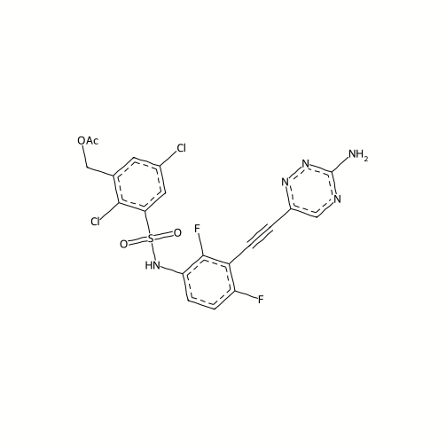 CC(=O)OCc1cc(Cl)cc(S(=O)(=O)Nc2ccc(F)c(C#Cc3cnc(N)nn3)c2F)c1Cl